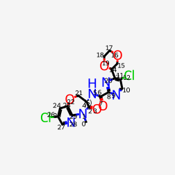 CN1C(=O)[C@@H](NC(=O)c2ncc(Cl)c(C3COCCO3)n2)COc2cc(Cl)cnc21